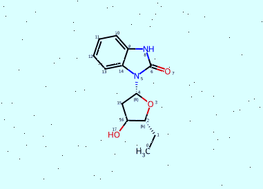 CC[C@H]1O[C@@H](n2c(=O)[nH]c3ccccc32)CC1O